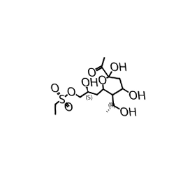 CCS(=O)(=O)OC[C@@H](O)CC1OC(O)(C(C)=O)CC(O)C1[C@@H](C)O